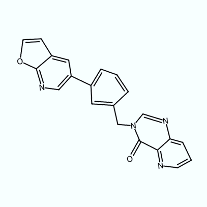 O=c1c2ncccc2ncn1Cc1cccc(-c2cnc3occc3c2)c1